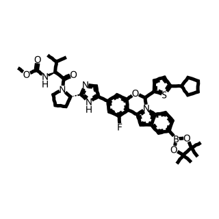 COC(=O)N[C@H](C(=O)N1CCC[C@H]1c1ncc(-c2cc(F)c3c(c2)OC(c2ccc(C4CCCC4)s2)n2c-3cc3cc(B4OC(C)(C)C(C)(C)O4)ccc32)[nH]1)C(C)C